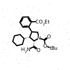 CCOC(=O)c1ccccc1C1CN(C(=O)OC(C)(C)C)[C@H](C(N)=O)[C@@H]1C1CCCCC1